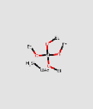 CC(=O)O[SiH3].CCO[Si](OCC)(OCC)OCC